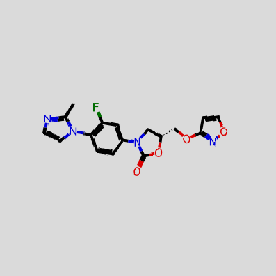 Cc1nccn1-c1ccc(N2C[C@H](COc3ccon3)OC2=O)cc1F